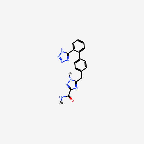 CCCCNC(=O)c1nc(Cc2ccc(-c3ccccc3-c3nnn[nH]3)cc2)n(CCC)n1